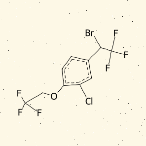 FC(F)(F)COc1ccc(C(Br)C(F)(F)F)cc1Cl